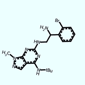 Cn1ncc2c(NC(C)(C)C)nc(NCC(N)c3ccccc3Br)nc21